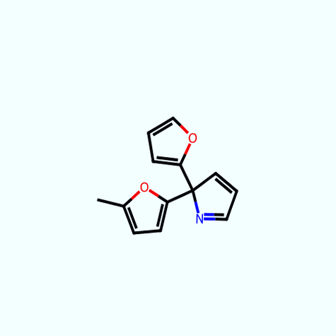 Cc1ccc(C2(c3ccco3)C=CC=N2)o1